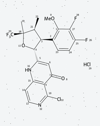 COc1c([C@H]2[C@H](c3cc(=O)c4c(Cl)nccc4[nH]3)O[C@@](C)(C(F)(F)F)[C@H]2C)ccc(F)c1F.Cl